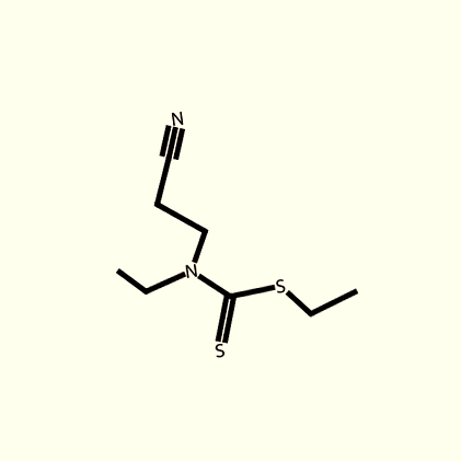 CCSC(=S)N(CC)CCC#N